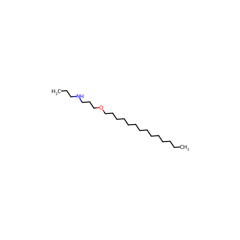 [CH2]CCNCCCOCCCCCCCCCCCCCC